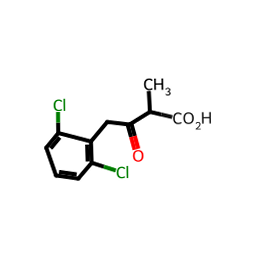 CC(C(=O)O)C(=O)Cc1c(Cl)cccc1Cl